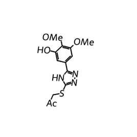 COc1cc(-c2nnc(SCC(C)=O)[nH]2)cc(O)c1OC